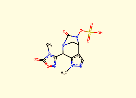 Cn1ncc2c1C(c1noc(=O)n1C)N1CC2N(OS(=O)(=O)O)C1=O